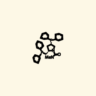 CNC(=O)N1C[C@@H](P(c2ccccc2)c2ccccc2)C[C@H]1CP(c1ccccc1)c1ccccc1